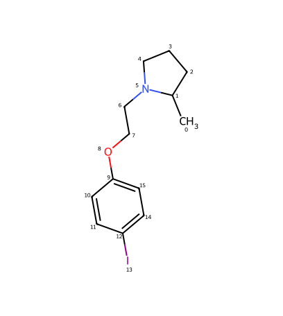 CC1CCCN1CCOc1ccc(I)cc1